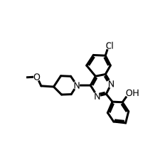 COCC1CCN(c2nc(-c3ccccc3O)nc3cc(Cl)ccc23)CC1